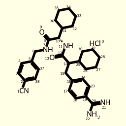 Cl.N#Cc1ccc(CNC(=O)[C@@H](NC(=O)C(Cc2ccc(C(=N)N)cc2)C2CCCCC2)C2CCCCC2)cc1